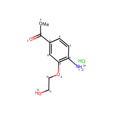 COC(=O)c1ccc(N)c(OCCO)c1.Cl